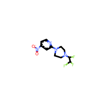 O=[N+]([O-])c1ccnc(N2CCN(C(F)C(F)F)CC2)c1